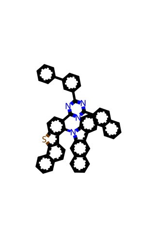 c1ccc(-c2cccc(-c3nc(-c4ccc5ccccc5c4)nc(-c4ccc5sc6c7ccccc7ccc6c5c4-n4c5ccccc5c5cc6ccccc6cc54)n3)c2)cc1